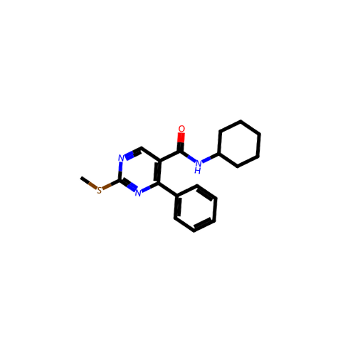 CSc1ncc(C(=O)NC2CCCCC2)c(-c2ccccc2)n1